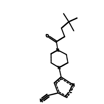 CC(C)(C)CCC(=O)N1CCN(c2cc(C#N)ccn2)CC1